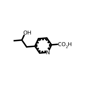 CC(O)Cc1ccc(C(=O)O)nc1